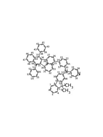 CC1(C)c2ccccc2-c2ccc(N(c3ccncc3)c3cccc(-c4ccc5c6c(cccc46)-c4c-5c(-c5ccccc5)c5ccccc5c4-c4ccccc4)c3)cc21